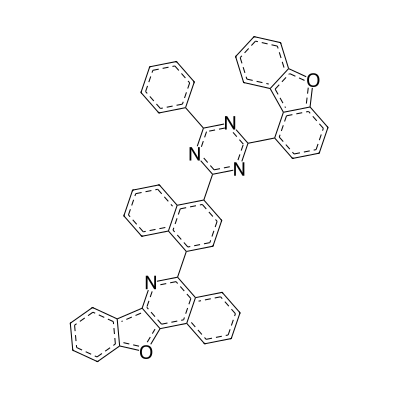 c1ccc(-c2nc(-c3ccc(-c4nc5c6ccccc6oc5c5ccccc45)c4ccccc34)nc(-c3cccc4oc5ccccc5c34)n2)cc1